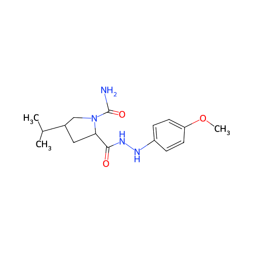 COc1ccc(NNC(=O)C2CC(C(C)C)CN2C(N)=O)cc1